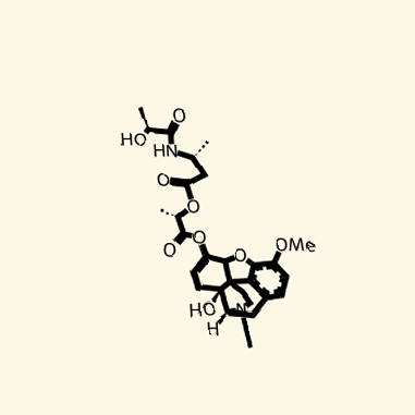 COc1ccc2c3c1OC1C(OC(=O)[C@H](C)OC(=O)C[C@@H](C)NC(=O)[C@H](C)O)=CC[C@@]4(O)[C@@H](C2)N(C)CCC314